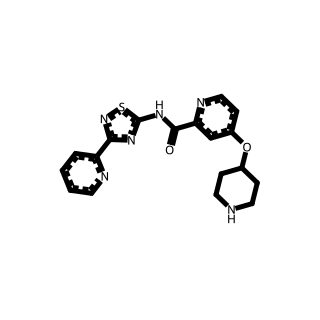 O=C(Nc1nc(-c2ccccn2)ns1)c1cc(OC2CCNCC2)ccn1